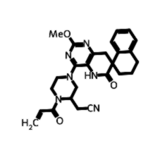 C=CC(=O)N1CCN(c2nc(OC)nc3c2NC(=O)C2(CCCc4ccccc42)C3)CC1CC#N